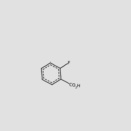 O=C(O)c1ccc[c]c1F